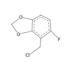 Fc1ccc2c(c1CCl)OCO2